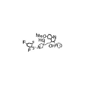 COc1ccc2ncc(CN3CCOCC3)c([C@H](O)CCC3(CO)CCN(CCSc4c(F)cc(F)cc4F)CC3)c2c1